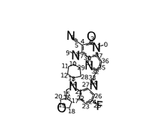 Cn1c(=O)c(C#N)c(N(C)[C@H]2CC[C@H](N(CC3CCOC3)c3ccc(F)cc3)CC2)c2nc(C#N)ccc21